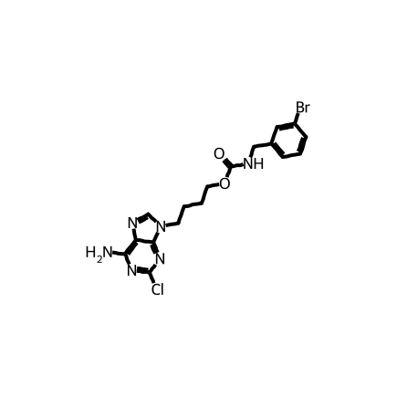 Nc1nc(Cl)nc2c1ncn2CCCCOC(=O)NCc1cccc(Br)c1